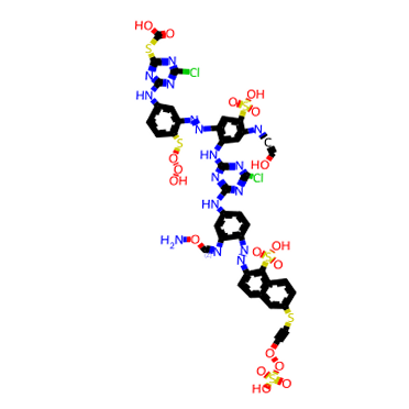 NO/C=N\c1cc(Nc2nc(Cl)nc(Nc3cc(N=C=CO)c(S(=O)(=O)O)cc3N=Nc3cc(Nc4nc(Cl)nc(SC(=O)O)n4)ccc3SOOO)n2)ccc1N=Nc1ccc2cc(SC#COOS(=O)(=O)O)ccc2c1S(=O)(=O)O